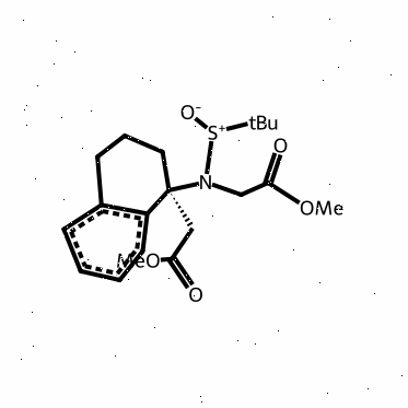 COC(=O)CN([S+]([O-])C(C)(C)C)[C@]1(CC(=O)OC)CCCc2ccccc21